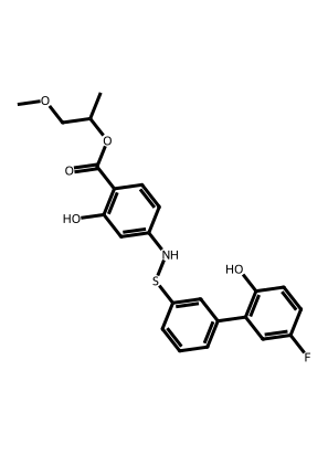 COCC(C)OC(=O)c1ccc(NSc2cccc(-c3cc(F)ccc3O)c2)cc1O